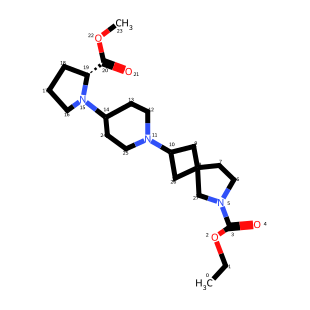 CCOC(=O)N1CCC2(CC(N3CCC(N4CCC[C@@H]4C(=O)OC)CC3)C2)C1